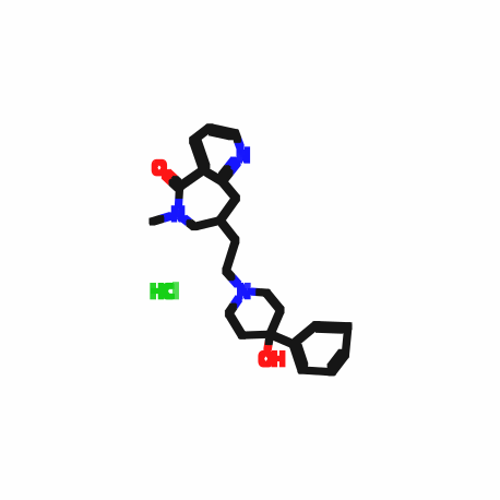 CN1CC(CCN2CCC(O)(c3ccccc3)CC2)Cc2ncccc2C1=O.Cl